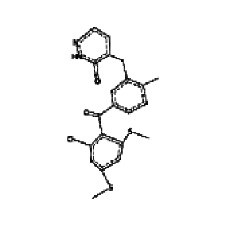 CSc1cc(Cl)c(C(=O)c2ccc(C)c(Cc3ccn[nH]c3=O)c2)c(SC)c1